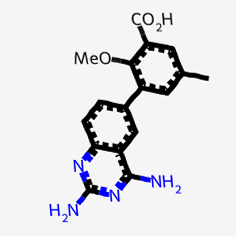 COc1c(C(=O)O)cc(C)cc1-c1ccc2nc(N)nc(N)c2c1